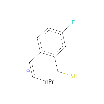 CCC/C=C\c1ccc(F)cc1CS